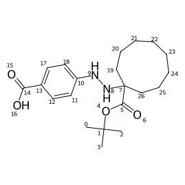 CC(C)(C)OC(=O)C1(NNc2ccc(C(=O)O)cc2)CCCCCCCC1